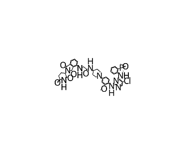 COc1cc(N2CCC(NC(=O)CNc3cccc4c3C(=O)N(C3CCC(=O)NC3=O)C4=O)CC2)ccc1Nc1ncc(Cl)c(Nc2ccccc2P(C)(C)=O)n1